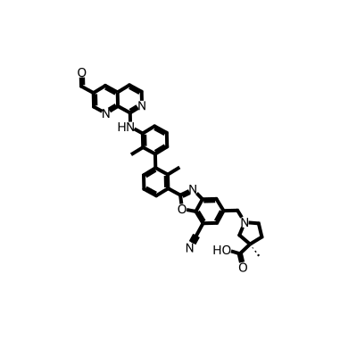 Cc1c(Nc2nccc3cc(C=O)cnc23)cccc1-c1cccc(-c2nc3cc(CN4CC[C@@](C)(C(=O)O)C4)cc(C#N)c3o2)c1C